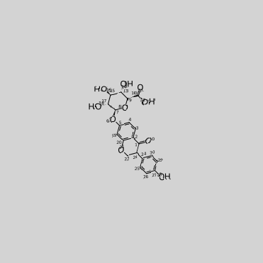 O=C1c2ccc(O[C@@H]3O[C@H](C(=O)O)[C@@H](O)[C@H](O)[C@H]3O)cc2OCC1c1ccc(O)cc1